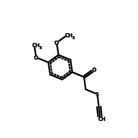 C#CSCC(=O)c1ccc(OC)c(OC)c1